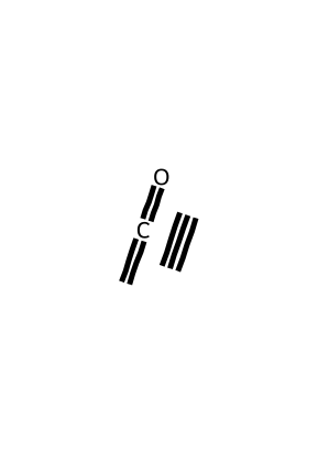 C#C.C=C=O